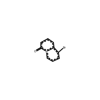 O=c1cccc2c(Br)cccn12